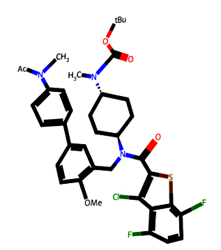 COc1ccc(-c2ccc(N(C)C(C)=O)cc2)cc1CN(C(=O)c1sc2c(F)ccc(F)c2c1Cl)[C@H]1CC[C@H](N(C)C(=O)OC(C)(C)C)CC1